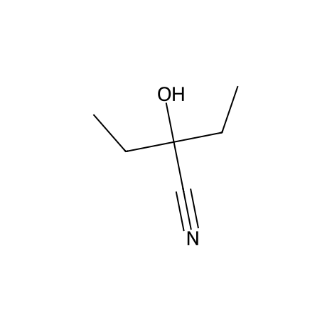 CCC(O)(C#N)CC